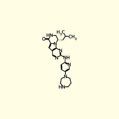 CC(C)C[C@H]1CNC(=O)c2cc3cnc(Nc4ccc(N5CCCNCC5)cn4)nc3n21